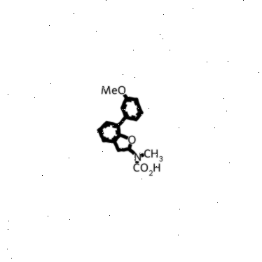 COc1cccc(-c2cccc3c2OC(N(C)C(=O)O)C3)c1